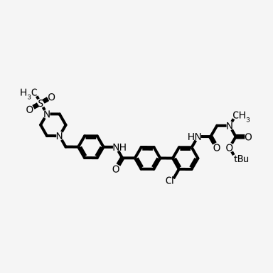 CN(CC(=O)Nc1ccc(Cl)c(-c2ccc(C(=O)Nc3ccc(CN4CCN(S(C)(=O)=O)CC4)cc3)cc2)c1)C(=O)OC(C)(C)C